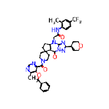 Cc1cc(C(F)(F)F)ccc1NC(=O)Cn1c2c(c(=O)n3nc(C4=CCOCC4)nc13)C1(CC2)CCN(C(=O)c2ncnc(C)c2OCc2ccccc2)CC1